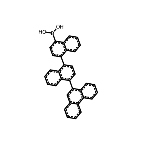 OB(O)c1ccc(-c2ccc(-c3cc4ccccc4c4ccccc34)c3ccccc23)c2ccccc12